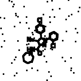 N#CC1C(C(=O)NN2CCCCCC2)=NN(c2ccccc2Cl)C1c1ccc(Cl)cc1